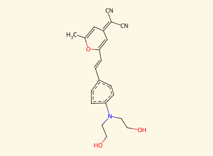 CC1=CC(=C(C#N)C#N)C=C(C=Cc2ccc(N(CCO)CCO)cc2)O1